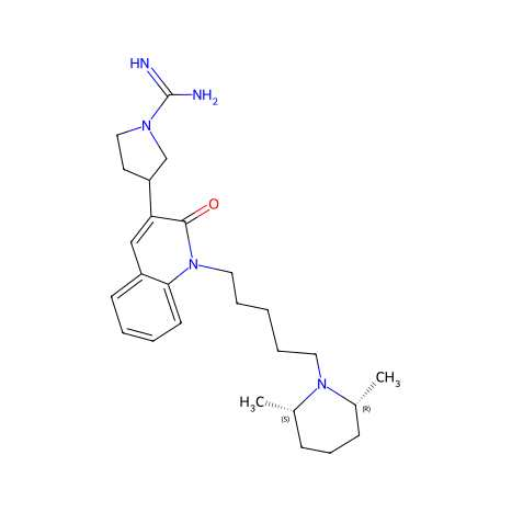 C[C@@H]1CCC[C@H](C)N1CCCCCn1c(=O)c(C2CCN(C(=N)N)C2)cc2ccccc21